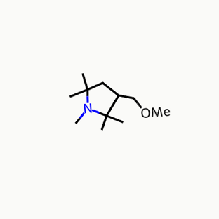 COCC1CC(C)(C)N(C)C1(C)C